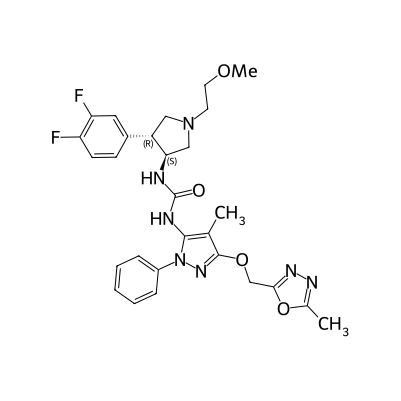 COCCN1C[C@@H](NC(=O)Nc2c(C)c(OCc3nnc(C)o3)nn2-c2ccccc2)[C@H](c2ccc(F)c(F)c2)C1